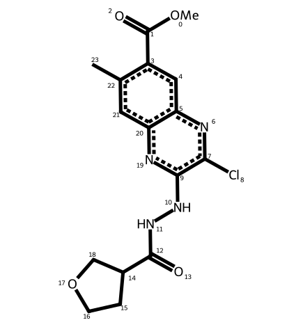 COC(=O)c1cc2nc(Cl)c(NNC(=O)C3CCOC3)nc2cc1C